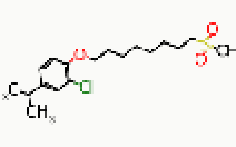 CC(C)c1ccc(OCCCCCCCCS(C)(=O)=O)c(Cl)c1